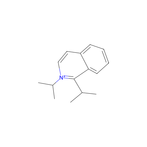 CC(C)c1c2ccccc2cc[n+]1C(C)C